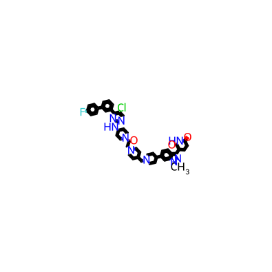 Cn1nc(C2CCC(=O)NC2=O)c2ccc(C3CCN(CC4CCN(CC(=O)N5CCC(Nc6ncc(Cl)c(-c7cccc(-c8ccc(F)cc8)c7)n6)CC5)CC4)CC3)cc21